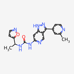 Cc1cc(-c2n[nH]c3cc(NC(=O)NC(C)c4ccno4)ncc23)ccn1